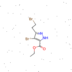 CCOC(=O)c1[nH]nc(CCBr)c1Br